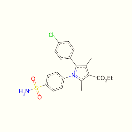 CCOC(=O)c1c(C)c(-c2ccc(Cl)cc2)n(-c2ccc(S(N)(=O)=O)cc2)c1C